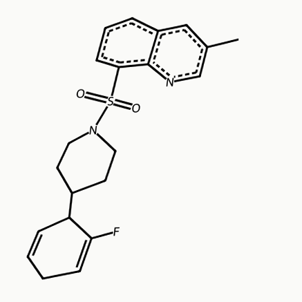 Cc1cnc2c(S(=O)(=O)N3CCC(C4C=CCC=C4F)CC3)cccc2c1